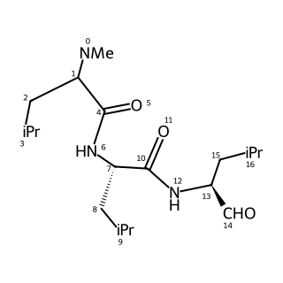 CNC(CC(C)C)C(=O)N[C@@H](CC(C)C)C(=O)N[C@H](C=O)CC(C)C